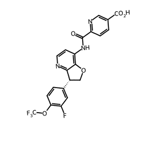 O=C(O)c1ccc(C(=O)Nc2ccnc3c2OC[C@@H]3c2ccc(OC(F)(F)F)c(F)c2)nc1